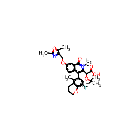 Cc1nc(COc2ccc3c(-c4cc(F)c5c(c4C)CCCO5)c([C@H](OC(C)(C)C)C(=O)O)n(C)c(=O)c3c2)c(C)o1